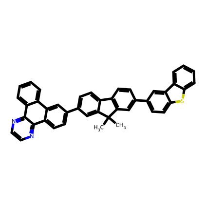 CC1(C)c2cc(-c3ccc4sc5ccccc5c4c3)ccc2-c2ccc(-c3ccc4c(c3)c3ccccc3c3nccnc43)cc21